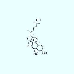 C[C@H](CCCC(C)(C)O)[C@H]1CC[C@H]2C3=C(F)C[C@H]4[C@@H](O)[C@@H](O)CC[C@]4(C)[C@H]3CC[C@]12C